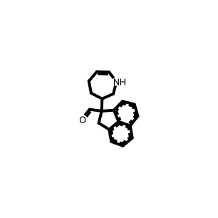 O=CC1(C2CCC=CNC2)Cc2cccc3cccc1c23